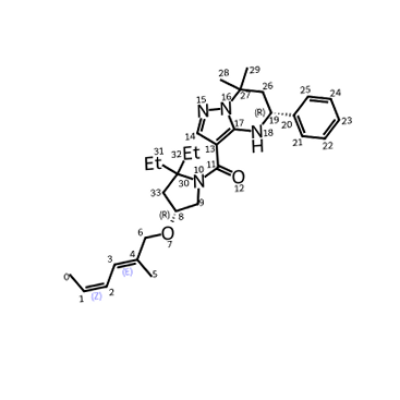 C/C=C\C=C(/C)CO[C@H]1CN(C(=O)c2cnn3c2N[C@@H](c2ccccc2)CC3(C)C)C(CC)(CC)C1